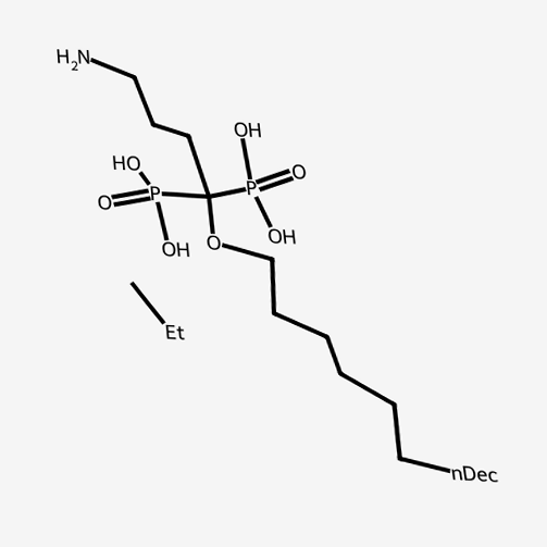 CCC.CCCCCCCCCCCCCCCCOC(CCCN)(P(=O)(O)O)P(=O)(O)O